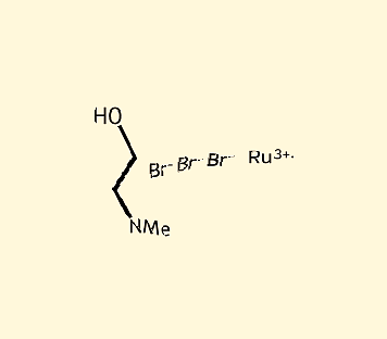 CNCCO.[Br-].[Br-].[Br-].[Ru+3]